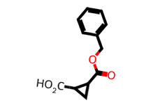 O=C(O)C1CC1C(=O)OCc1ccccc1